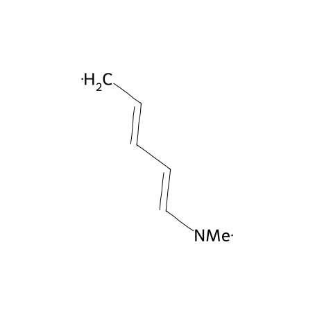 [CH2]C=CC=C[N]C